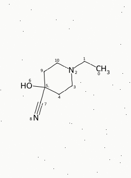 CCN1CCC(O)(C#N)CC1